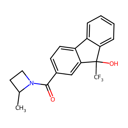 CC1CCN1C(=O)c1ccc2c(c1)C(O)(C(F)(F)F)c1ccccc1-2